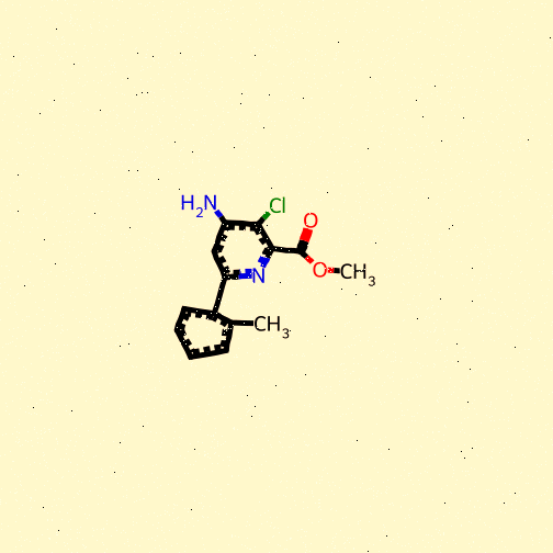 COC(=O)c1nc(-c2ccccc2C)cc(N)c1Cl